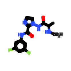 CC(NC(=O)O)C(=O)Nn1ccnc1C(=O)Nc1cc(F)cc(F)c1